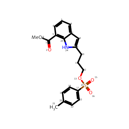 COC(=O)c1cccc2cc(CCCOS(=O)(=O)c3ccc(C)cc3)[nH]c12